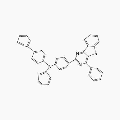 c1ccc(-c2ccc(N(c3ccccc3)c3ccc(-c4nc(-c5ccccc5)c5sc6ccccc6c5n4)cc3)cc2)cc1